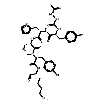 CC(=O)NNC(=O)N[C@@H](Cc1ccc(F)cc1)C(=O)N[C@@H](Cc1cccs1)C(=O)N[C@@H](CO)C(=O)N(C)[C@@H](Cc1ccc(O)cc1)C(=O)N[C@@H]([C]=O)CCCCN